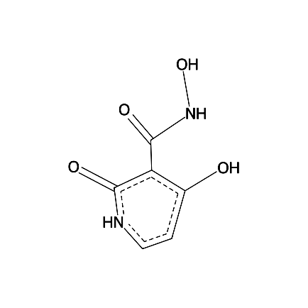 O=C(NO)c1c(O)cc[nH]c1=O